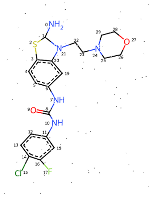 NC1Sc2ccc(NC(=O)Nc3ccc(Cl)c(F)c3)cc2N1CCN1CCOCC1